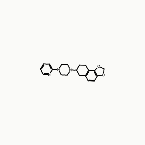 c1ccc(N2CCN(C3CCc4c(ccc5c4OCO5)C3)CC2)nc1